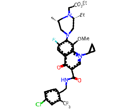 CCOC(=O)CN1[C@H](CC)CN(c2c(F)cc3c(=O)c(C(=O)NCc4ccc(Cl)cc4C(F)(F)F)cn(C4CC4)c3c2OC)C[C@@H]1C